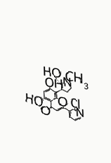 CN1CC[C@@H](c2c(O)cc(O)c3c(=O)cc(-c4cccnc4Cl)oc23)[C@@H]1CO